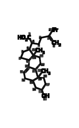 C=C(CCC(C(=O)O)C1CCC2C3=CCC4CC(O)CCC4(C)C3CCC21C)C(C)C